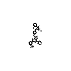 C[C@H](NC(=O)c1ccc(Cn2nnc3c(N4CCOCC4)nc(-c4cccc(O)c4)nc32)cc1)c1ccccc1